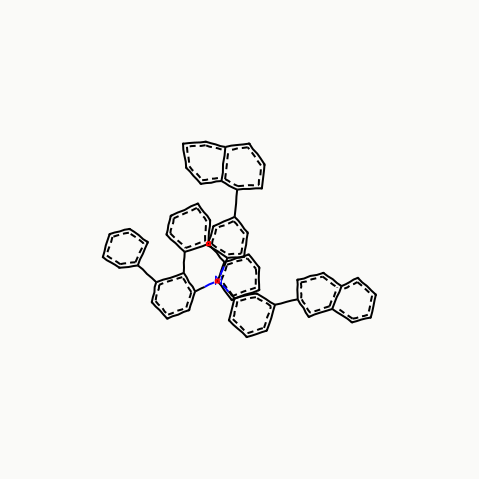 c1ccc(-c2ccccc2-c2c(-c3ccccc3)cccc2N(c2ccc(-c3cccc4ccccc34)cc2)c2cccc(-c3ccc4ccccc4c3)c2)cc1